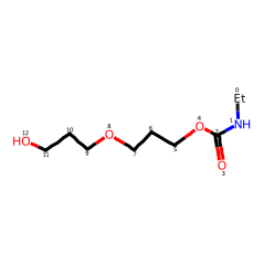 CCNC(=O)OCCCOCCCO